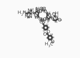 COc1ccc(C(=O)Oc2ccc(CSP3(=O)OC[C@H]4O[C@@H](n5cnc6c(N)ncnc65)[C@H](F)[C@@H]4OP(=O)(O)OC[C@H]4O[C@@H](n5ccc(=O)[nH]c5=O)[C@H](F)[C@@H]4O3)cc2)cc1